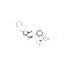 COC1CC(c2cccc(-n3cc(Cl)c4cc(CN5CCC[C@H](C)C5)[nH]c4c3=O)c2)(c2nncn2C)C1